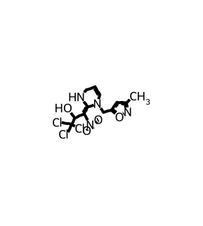 Cc1cc(CN2C=CCNC2=C(C(O)C(Cl)(Cl)Cl)[N+](=O)[O-])on1